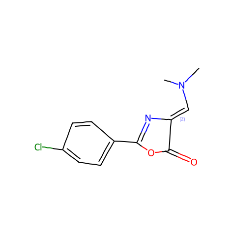 CN(C)/C=C1\N=C(c2ccc(Cl)cc2)OC1=O